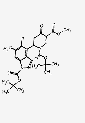 COC(=O)C1CN(C(=O)OC(C)(C)C)C(c2c(Cl)c(C)cc3c2cnn3C(=O)OC(C)(C)C)CC1=O